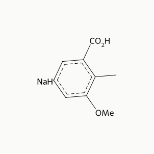 COc1cccc(C(=O)O)c1C.[NaH]